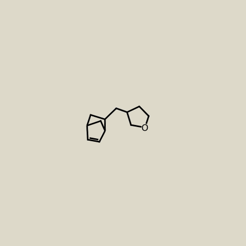 C1=CC2CC1CC2CC1CCOC1